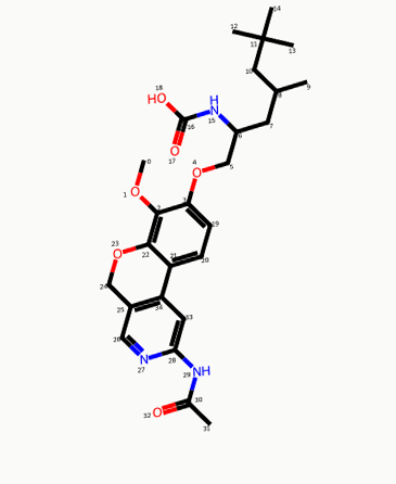 COc1c(OCC(CC(C)CC(C)(C)C)NC(=O)O)ccc2c1OCc1cnc(NC(C)=O)cc1-2